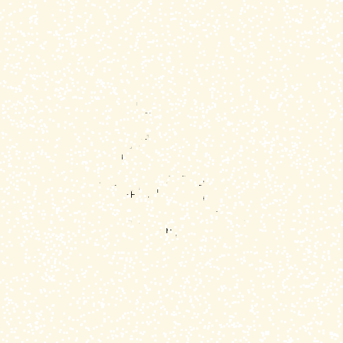 CCO[P](=O)CC(=O)O.COP=O